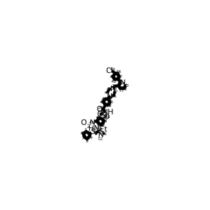 CC[C@@](CSc1ccccc1)(Nc1ccc(S(=O)(=O)NC(=O)c2ccc(N3CCN(Cc4cccnc4-c4ccc(Cl)cc4)CC3)cc2)cc1[N+](=O)[O-])N(C)C